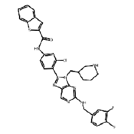 O=C(Nc1ccc(-c2nc3cnc(NCc4ccc(F)c(F)c4)nc3n2C[C@@H]2CCCNC2)c(Cl)c1)c1cc2ccccc2s1